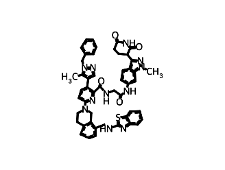 Cc1c(-c2ccc(N3CCc4cccc(CNc5nc6ccccc6s5)c4C3)nc2C(=O)NCC(=O)Nc2ccc3c(C4CCC(=O)NC4=O)nn(C)c3c2)cnn1Cc1ccccc1